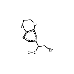 O=CC(CBr)c1ccc2c(c1)OCCO2